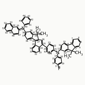 CC1(C)c2ccccc2-c2ccc(N(c3ccc(F)cc3)c3ccc(-c4cc5c(c6ccccc46)-c4ccc(N(c6ccccc6)c6ccc7ccccc7c6)cc4C5(C)C)cn3)cc21